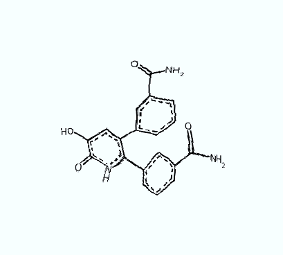 NC(=O)c1cccc(-c2cc(O)c(=O)[nH]c2-c2cccc(C(N)=O)c2)c1